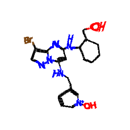 OC[C@H]1CCCC[C@H]1Nc1cc(NCc2ccc[n+](O)c2)n2ncc(Br)c2n1